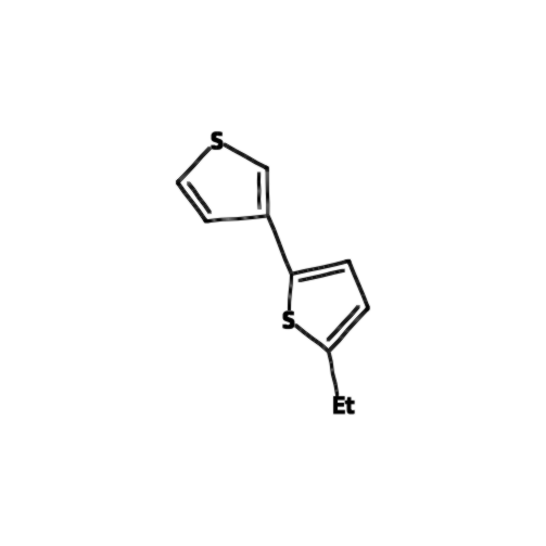 CCc1ccc(-c2ccsc2)s1